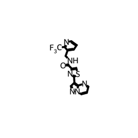 O=C(NCc1cccnc1C(F)(F)F)c1csc(-c2cnn3cccnc23)n1